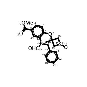 COC(=O)c1ccc(OC2(C)C[S+]([O-])C2)c(N(C=O)Cc2ccccc2)c1